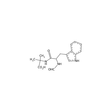 CC(C)(NC(=O)C(Cc1c[nH]c2ccccc12)NC=O)C(=O)O